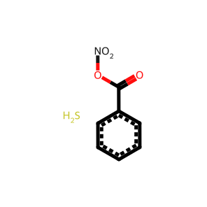 O=C(O[N+](=O)[O-])c1ccccc1.S